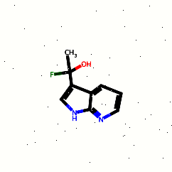 CC(O)(F)c1c[nH]c2ncccc12